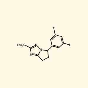 CCOC(=O)c1nc2n(n1)C(c1cc(F)cc(F)c1)CC2